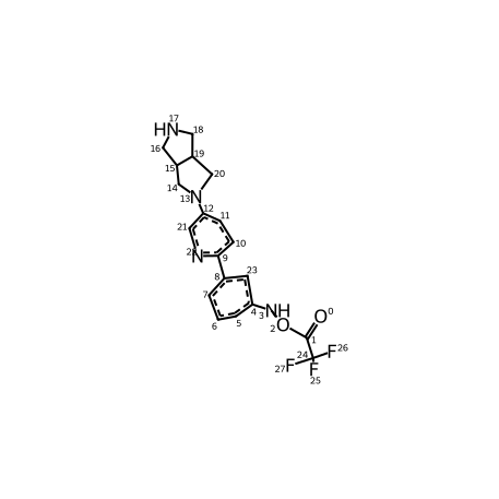 O=C(ONc1cccc(-c2ccc(N3CC4CNCC4C3)cn2)c1)C(F)(F)F